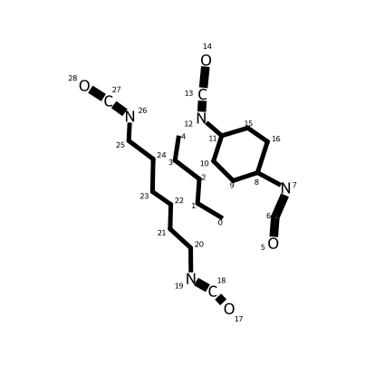 CCCCC.O=C=NC1CCC(N=C=O)CC1.O=C=NCCCCCCN=C=O